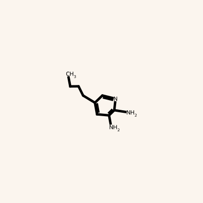 CCCCc1cnc(N)c(N)c1